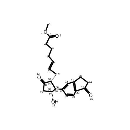 COC(=O)CCCC=CC[C@H]1C(=O)C[C@@H](O)[C@@H]1c1ccc2c(c1)CCC2=O